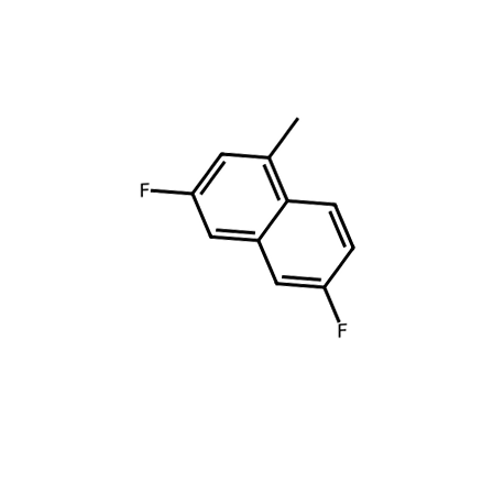 Cc1cc(F)cc2cc(F)ccc12